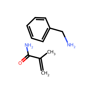 C=C(C)C(N)=O.NCc1ccccc1